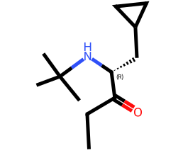 CCC(=O)[C@@H](CC1CC1)NC(C)(C)C